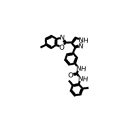 Cc1ccc2nc(-c3c[nH]nc3-c3cccc(NC(=O)Nc4c(C)cccc4C)c3)oc2c1